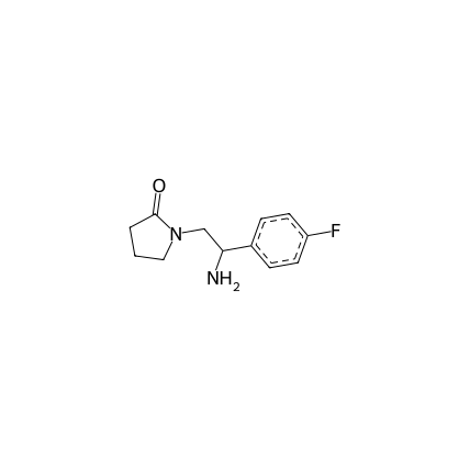 NC(CN1CCCC1=O)c1ccc(F)cc1